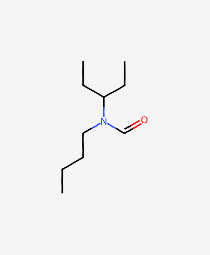 CCCCN(C=O)C(CC)CC